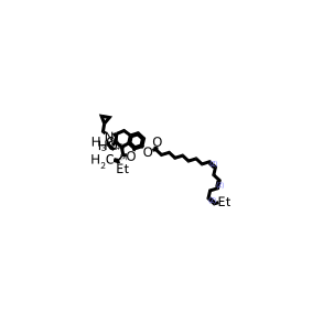 C=C(CC)[C@@H]1Oc2c(OC(=O)CCCCCCC/C=C\C/C=C\C/C=C\CC)ccc3c2[C@@]12CCN(CC1CC1)C(C3)[C@@]2(C)O